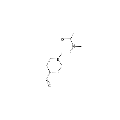 CC(=O)N(C)CCN1CCN(C(C)=O)CC1